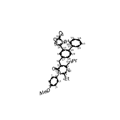 CCCc1nc(CC)n(-c2ccc(OC)cc2)c(=O)c1Cc1ccc(-c2ccccc2)c(-c2noc(=O)[nH]2)c1